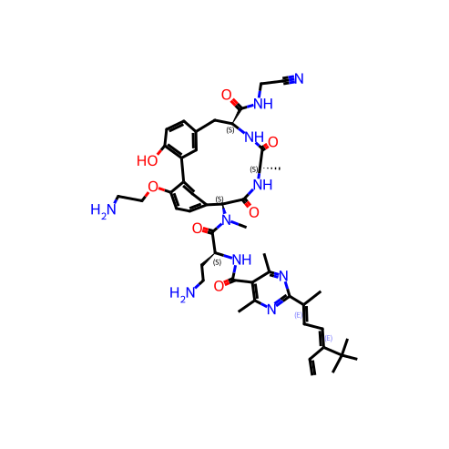 C=C/C(=C\C=C(/C)c1nc(C)c(C(=O)N[C@@H](CCN)C(=O)N(C)[C@@H]2C(=O)N[C@@H](C)C(=O)N[C@H](C(=O)NCC#N)Cc3ccc(O)c(c3)-c3cc2ccc3OCCN)c(C)n1)C(C)(C)C